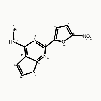 CC(C)Nc1nc(-c2ccc([N+](=O)[O-])o2)nc2sccc12